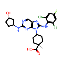 C[C@]1(C(=O)O)CC[C@@H](n2c(Nc3c(Cl)cc(F)cc3Cl)nc3cnc(N[C@H]4CC[C@H](O)C4)nc32)CC1